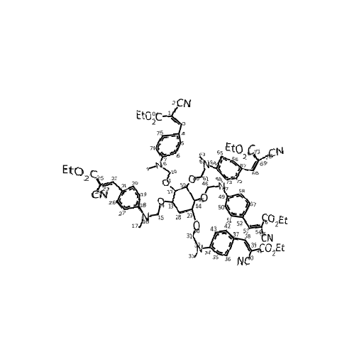 CCOC(=O)/C(C#N)=C\c1ccc(N(C)COC2C(OCN(C)c3ccc(/C=C(\C#N)C(=O)OCC)cc3)CC(OCN(C)c3ccc(/C=C(\C#N)C(=O)OCC)cc3)C(OCN(C)c3ccc(/C=C(/C#N)C(=O)OCC)cc3)C2OCN(C)c2ccc(/C=C(/C#N)C(=O)OCC)cc2)cc1